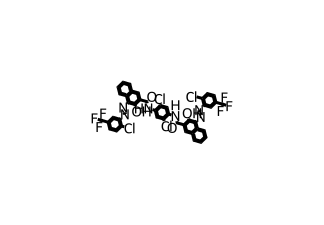 O=C(Nc1cc(Cl)c(NC(=O)c2cc3ccccc3c(N=Nc3cc(C(F)(F)F)ccc3Cl)c2O)cc1Cl)c1cc2ccccc2c(N=Nc2cc(C(F)(F)F)ccc2Cl)c1O